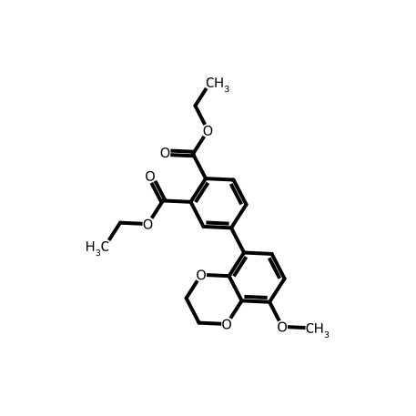 CCOC(=O)c1ccc(-c2ccc(OC)c3c2OCCO3)cc1C(=O)OCC